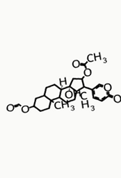 CC(=O)OC1C[C@]2(O)[C@@H]3CCC4CC(OC=O)CCC4(C)C3CC[C@]2(C)C1c1ccc(=O)oc1